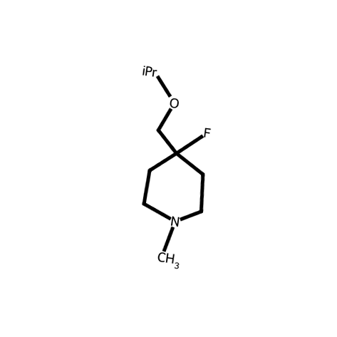 CC(C)OCC1(F)CCN(C)CC1